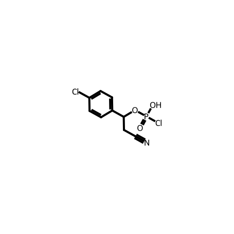 N#CCC(OP(=O)(O)Cl)c1ccc(Cl)cc1